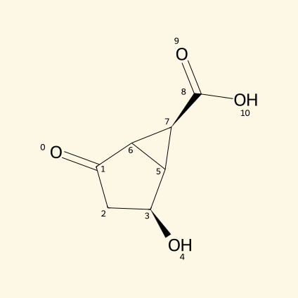 O=C1C[C@H](O)C2C1[C@H]2C(=O)O